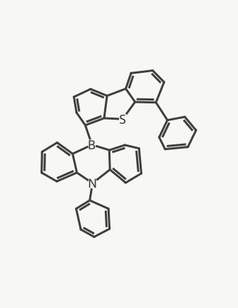 c1ccc(-c2cccc3c2sc2c(B4c5ccccc5N(c5ccccc5)c5ccccc54)cccc23)cc1